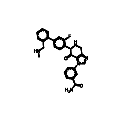 CNCc1ccccc1-c1ccc(C2NCc3ncn(-c4cccc(C(N)=O)c4)c3C2=O)c(F)c1